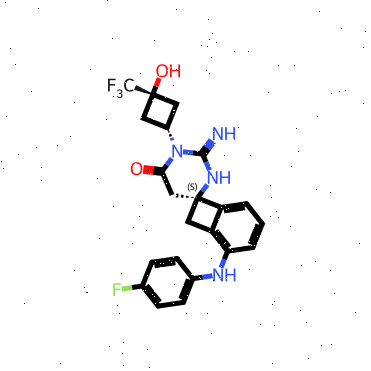 N=C1N[C@]2(CC(=O)N1[C@H]1C[C@](O)(C(F)(F)F)C1)Cc1c(Nc3ccc(F)cc3)cccc12